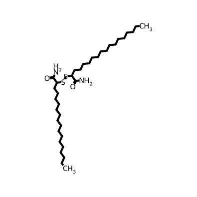 CCCCCCCCCCCCCCCCC(SSC(CCCCCCCCCCCCCCCC)C(N)=O)C(N)=O